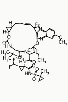 CC[C@@H]1[C@@H]2CN(C(=O)[C@H](C(C)(C)C)NC(=O)O[C@@H]3C[C@H]3CC/C=C/C(F)(F)c3nc4ccc(OC)cc4nc3O2)[C@@H]1C(=O)N[C@]1(C(=O)NS(=O)(=O)C2(C)CC2)C[C@H]1C(F)F